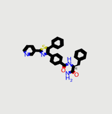 NC(=O)[C@H](Cc1ccccc1)NC(=O)c1ccc(-c2nc(-c3cccnc3)sc2-c2ccccc2)cc1